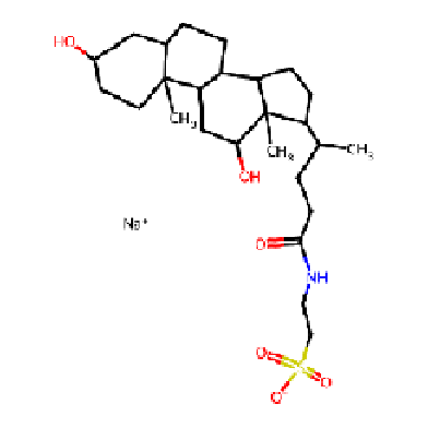 CC(CCC(=O)NCCS(=O)(=O)[O-])C1CCC2C3CCC4CC(O)CCC4(C)C3CC(O)C12C.[Na+]